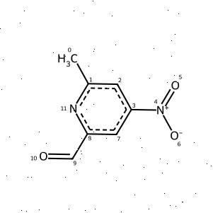 Cc1cc([N+](=O)[O-])cc(C=O)n1